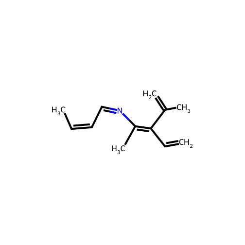 C=C/C(C(=C)C)=C(C)/N=C\C=C/C